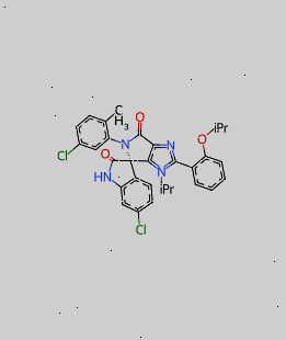 Cc1ccc(Cl)cc1N1C(=O)c2nc(-c3ccccc3OC(C)C)n(C(C)C)c2[C@@]12C(=O)Nc1cc(Cl)ccc12